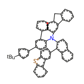 CC(C)(C)c1ccc(-c2ccc(N(c3ccc4c(c3)-c3ccccc3C4)c3ccc4ccccc4c3-c3ccc4sc5ccccc5c4c3)c(-c3ccccc3)c2)cc1